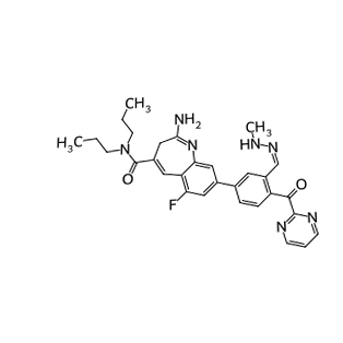 CCCN(CCC)C(=O)C1=Cc2c(F)cc(-c3ccc(C(=O)c4ncccn4)c(/C=N\NC)c3)cc2N=C(N)C1